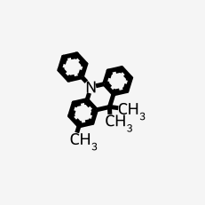 Cc1ccc2c(c1)C(C)(C)c1ccccc1N2c1ccccc1